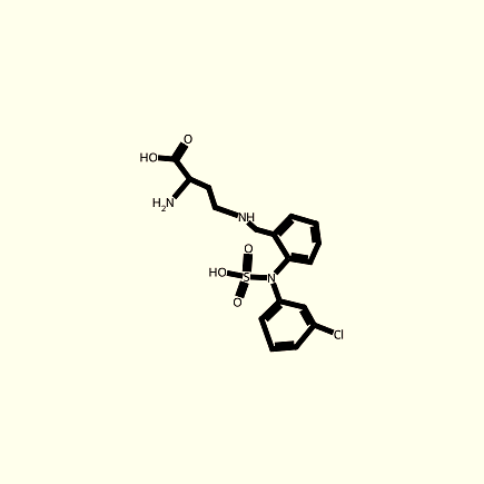 NC(CCNCc1ccccc1N(c1cccc(Cl)c1)S(=O)(=O)O)C(=O)O